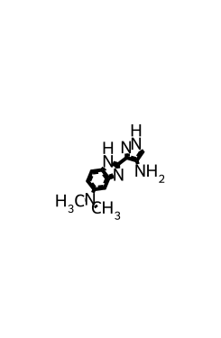 CN(C)c1ccc2[nH]c(-c3n[nH]cc3N)nc2c1